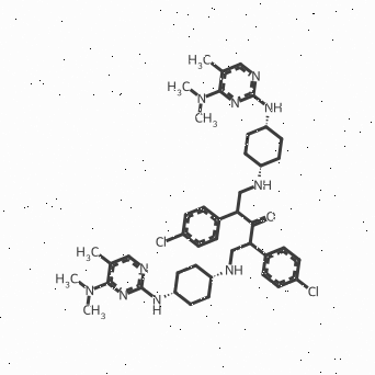 Cc1cnc(N[C@H]2CC[C@@H](NCC(C(=O)C(CN[C@H]3CC[C@@H](Nc4ncc(C)c(N(C)C)n4)CC3)c3ccc(Cl)cc3)c3ccc(Cl)cc3)CC2)nc1N(C)C